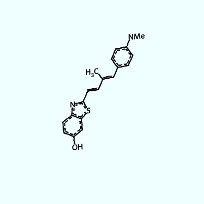 CNc1ccc(/C=C(C)/C=C/c2nc3ccc(O)cc3s2)cc1